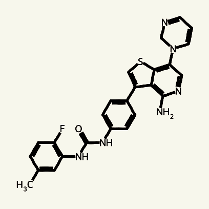 Cc1ccc(F)c(NC(=O)Nc2ccc(-c3csc4c(N5C=CC=NC5)cnc(N)c34)cc2)c1